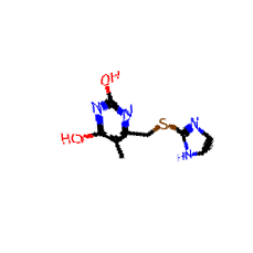 Cc1c(O)nc(O)nc1CSC1=NCCN1